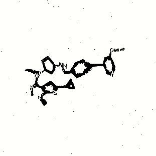 C=Nc1sc(C2CC2)cc1/C(=N\C)N(C)[C@@H]1CC[C@H](NCc2ccc(-c3cncc(OC)c3)cc2)C1